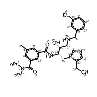 CCCN(CCC)C(=O)c1cc(C)cc(C(=O)N[C@@H](Cn2cncc2CC#N)[C@H](O)CNCc2cccc(CC)c2)c1